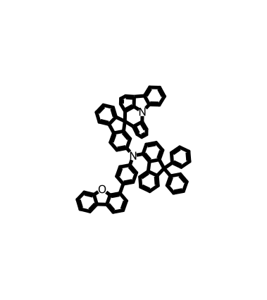 c1ccc(C2(c3ccccc3)c3ccccc3-c3c(N(c4ccc(-c5cccc6c5oc5ccccc56)cc4)c4ccc5c(c4)C4(c6ccccc6-5)c5ccccc5-n5c6ccccc6c6cccc4c65)cccc32)cc1